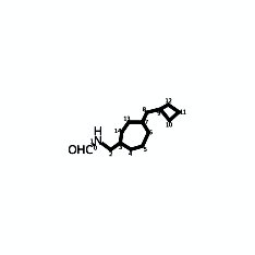 O=CNCC1CCCC(CC2CCC2)CC1